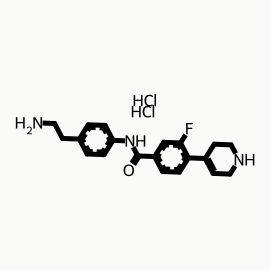 Cl.Cl.NCCc1ccc(NC(=O)c2ccc(C3=CCNCC3)c(F)c2)cc1